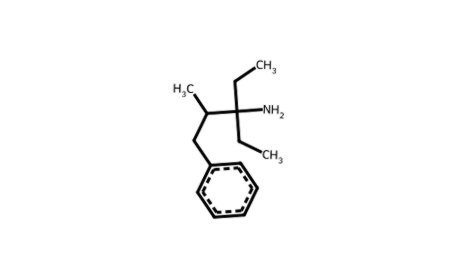 CCC(N)(CC)C(C)Cc1ccccc1